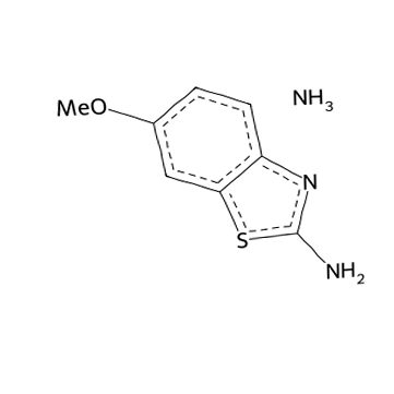 COc1ccc2nc(N)sc2c1.N